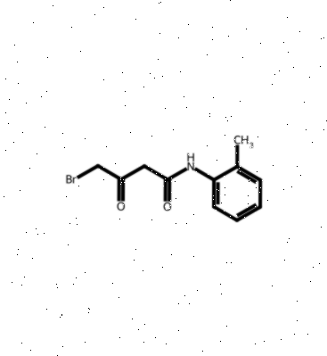 Cc1ccccc1NC(=O)CC(=O)CBr